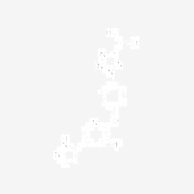 CCC(O)c1nnn(-c2ccc(Oc3ncc(-c4ccn[nH]4)cc3F)cc2)n1